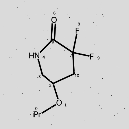 CC(C)OC1CNC(=O)C(F)(F)C1